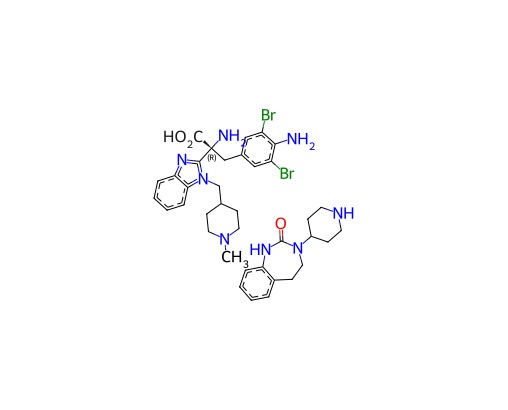 CN1CCC(Cn2c([C@](N)(Cc3cc(Br)c(N)c(Br)c3)C(=O)O)nc3ccccc32)CC1.O=C1Nc2ccccc2CCN1C1CCNCC1